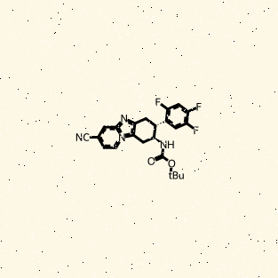 CC(C)(C)OC(=O)N[C@H]1Cc2c(nc3cc(C#N)ccn23)C[C@@H]1c1cc(F)c(F)cc1F